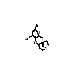 Brc1cc(Br)c2c(n1)C[C@@]13CC[N@](CCC1O2)C3